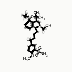 COc1ccc(C(=O)CCCCN(CC(c2ccccc2OC(F)(F)F)C(C)(C)C)C(=O)O)cc1S(N)(=O)=O